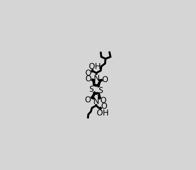 CCCCC(C(=O)O)n1c(=O)c2sc3c(=O)n(C(CCCC(CC)CC)C(=O)O)c(=O)c3sc2c1=O